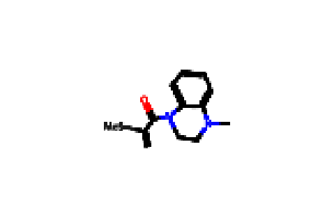 C=C(SC)C(=O)N1CCN(C)c2ccccc21